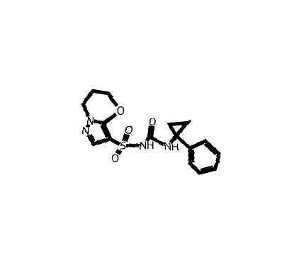 O=C(NC1(c2ccccc2)CC1)NS(=O)(=O)c1cnn2c1OCCC2